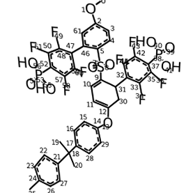 COc1ccc(S(=O)(=O)C2=CC=C(Oc3ccc(C(C)(C)c4ccc(C)cc4)cc3)CC2c2c(F)c(F)c(P(=O)(O)O)c(F)c2F)c(-c2c(F)c(F)c(P(=O)(O)O)c(F)c2F)c1